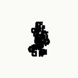 CC(C)[C@H](NC(=O)C(NC(=O)C(Cc1cccc(Cl)c1)NC(=O)c1cncnc1)c1ccccc1)C(=O)C(F)(F)C(=O)NCC(F)(F)F